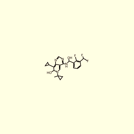 CC1(N2C=c3c(NC(O)c4cccc(C(F)F)c4F)ncnc3=C(C3CC3)C2O)CC1